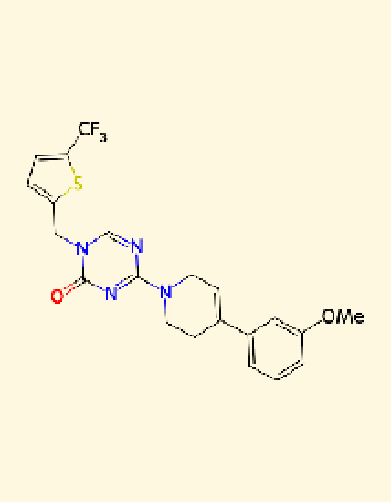 COc1cccc(C2=CCN(c3ncn(Cc4ccc(C(F)(F)F)s4)c(=O)n3)CC2)c1